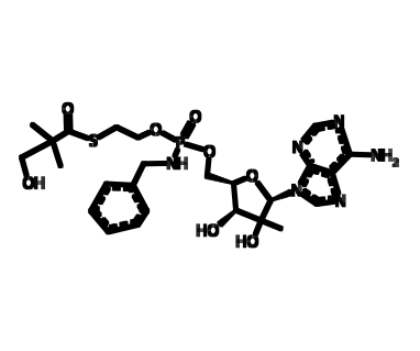 CC(C)(CO)C(=O)SCCOP(=O)(NCc1ccccc1)OC[C@H]1O[C@@H](n2cnc3c(N)ncnc32)C(C)(O)[C@H]1O